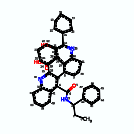 CCC(NC(=O)c1c(-c2cccc3nc(-c4ccccc4)c(O)c(C(=O)O)c23)c(-c2ccccc2)nc2ccccc12)c1ccccc1